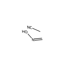 C=NO.CC#N